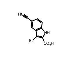 C#Cc1ccc2[nH]c(C(=O)O)c(CC)c2c1